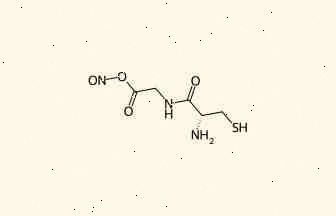 N[C@@H](CS)C(=O)NCC(=O)ON=O